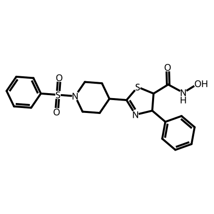 O=C(NO)C1SC(C2CCN(S(=O)(=O)c3ccccc3)CC2)=NC1c1ccccc1